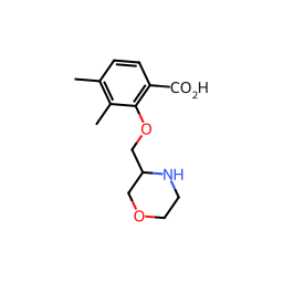 Cc1ccc(C(=O)O)c(OCC2COCCN2)c1C